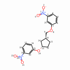 O=[N+]([O-])c1cccc(OC[C@H]2CC[C@H](Oc3cccc([N+](=O)[O-])c3)C2)c1